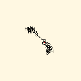 O=C1CCC(N2C(=O)c3cccc(OCC(=O)OCCCCCCCCOc4cccc(Nc5ncnc6[nH]ccc56)c4)c3C2=O)C(=O)N1